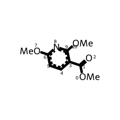 COC(=O)c1ccc(OC)nc1OC